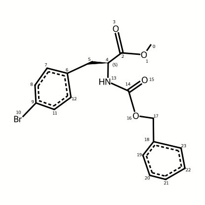 COC(=O)[C@H](Cc1ccc(Br)cc1)NC(=O)OCc1ccccc1